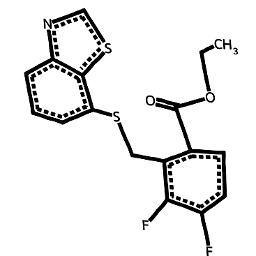 CCOC(=O)c1ccc(F)c(F)c1CSc1cccc2ncsc12